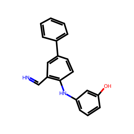 N=Cc1cc(-c2ccccc2)ccc1Nc1cccc(O)c1